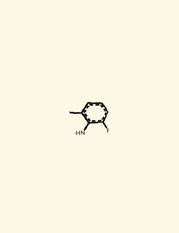 Cc1cccc(F)c1[NH]